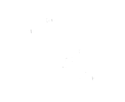 CCC(C)C(O)OCCCCOC(C)C(C(C)(F)C(F)(F)F)C(C)(F)C(F)(F)F